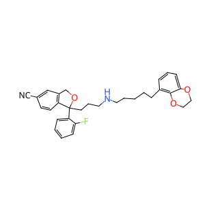 N#Cc1ccc2c(c1)COC2(CCCNCCCCCc1cccc2c1OCCO2)c1ccccc1F